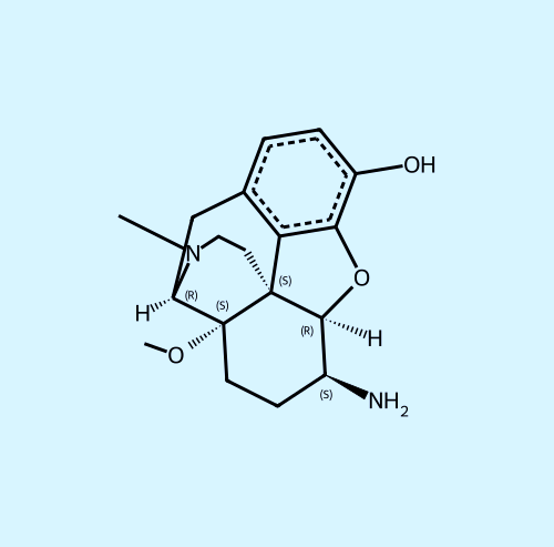 CO[C@@]12CC[C@H](N)[C@@H]3Oc4c(O)ccc5c4[C@@]31CCN(C)[C@@H]2C5